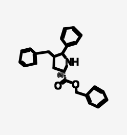 O=C(OCc1ccccc1)[C@@H]1CC(Cc2ccccc2)C(c2ccccc2)N1